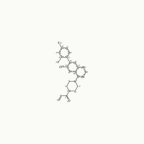 C=CC(=O)N1CCN(c2ncnc3cc(-c4ccc(F)cc4F)c(Cl)cc23)CC1